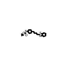 CN(C(=O)OC(C)(C)C)c1ccc(C=CC=Cc2nc3ccccc3s2)cc1